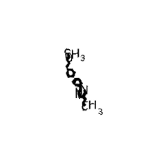 CCCc1cnc(-c2ccc([C@H]3CC[C@H](CCCOC)CC3)cc2)nc1